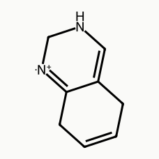 C1=CCC2=[N+]CNC=C2C1